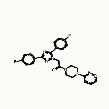 O=C(Cn1nc(-c2ccc(F)cc2)nc1-c1ccc(F)cc1)N1CCN(c2cccnn2)CC1